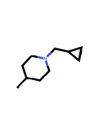 CC1CCN(CC2CC2)CC1